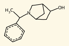 CC(c1ccccc1)N1CC2CC1CC2O